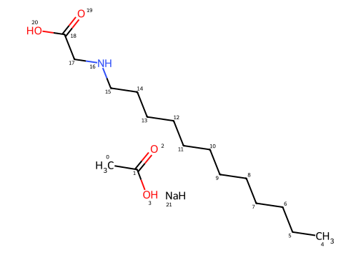 CC(=O)O.CCCCCCCCCCCCNCC(=O)O.[NaH]